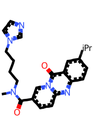 CC(C)c1ccc2nc3ccc(C(=O)N(C)CCCCn4ccnc4)cn3c(=O)c2c1